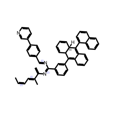 C=C(/N=C(\N=C\c1ccc(-c2cccnc2)cc1)c1cccc(C2=c3ccccc3=C(c3cccc4ccccc34)[C@H]3C=CC=CC23)c1)/C(C)=C/C=C\C